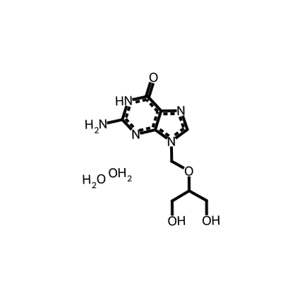 Nc1nc2c(ncn2COC(CO)CO)c(=O)[nH]1.O.O